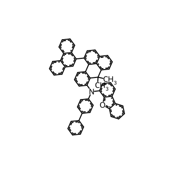 CC1(C)c2c(cccc2N(c2ccc(-c3ccccc3)cc2)c2cccc3c2oc2ccccc23)-c2c(-c3cc4ccccc4c4ccccc34)ccc3cccc1c23